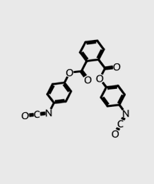 O=C=Nc1ccc(OC(=O)c2ccccc2C(=O)Oc2ccc(N=C=O)cc2)cc1